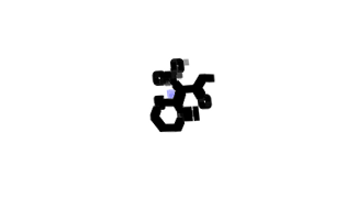 CCC(=O)/C(=C1\NCCCS1)[N+](=O)[O-]